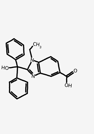 CCn1c(C(O)(c2ccccc2)c2ccccc2)nc2cc(C(=O)O)ccc21